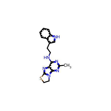 Cc1nc(NCCc2c[nH]c3ccccc23)c2nc3n(c2n1)CCS3